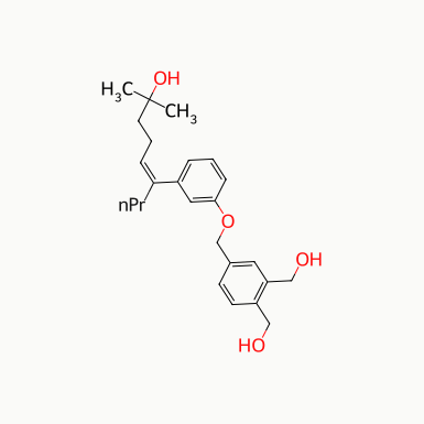 CCC/C(=C/CCC(C)(C)O)c1cccc(OCc2ccc(CO)c(CO)c2)c1